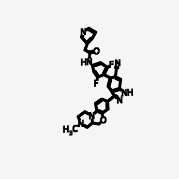 CN1CCN2c3ccc(-c4n[nH]c5cc(C#N)c(-c6c(F)cc(NC(=O)Cc7cccnc7)cc6F)cc45)cc3OCC2C1